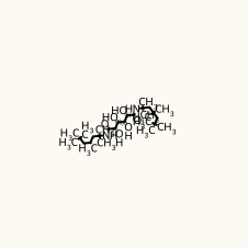 CC(CC(C)(C)C)CC(C)(C)NC(=O)[C@H](O)[C@@H](O)[C@@H](O)[C@H](O)C(=O)NC(C)(C)CC(C)(C)CC(C)(C)C